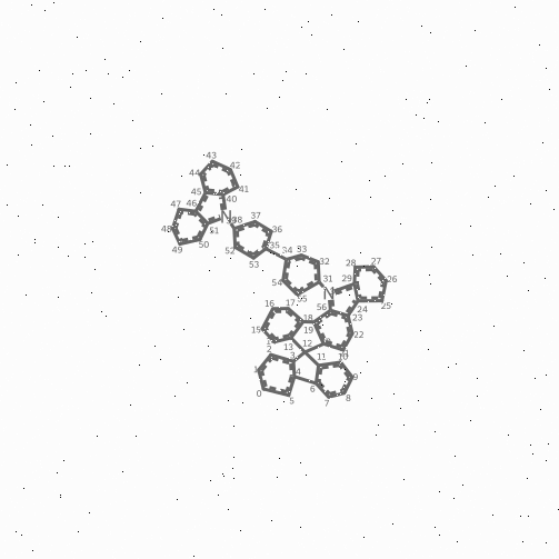 c1ccc2c(c1)-c1ccccc1C21c2ccccc2-c2c1ccc1c3ccccc3n(-c3ccc(-c4ccc(-n5c6ccccc6c6ccccc65)cc4)cc3)c21